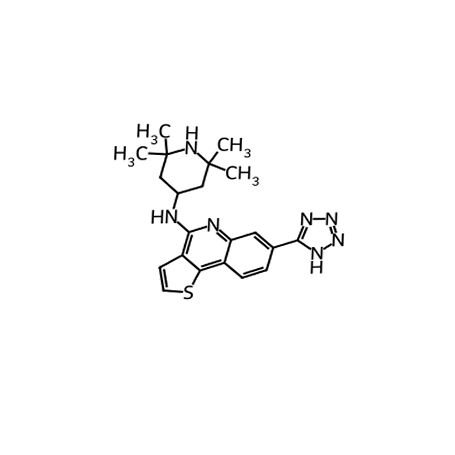 CC1(C)CC(Nc2nc3cc(-c4nnn[nH]4)ccc3c3sccc23)CC(C)(C)N1